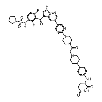 O=C1CCC(Nc2ccc(C3CCN(CC(=O)N4CCN(c5ncc(-c6cnc7[nH]cc(C(=O)c8c(F)ccc(NS(=O)(=O)N9CCCC9)c8F)c7c6)cn5)CC4)CC3)cc2)C(=O)N1